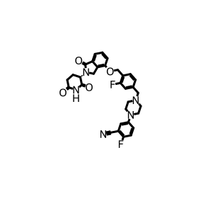 N#Cc1cc(N2CCN(Cc3ccc(COc4cccc5c4CN([C@H]4CCC(=O)NC4=O)C5=O)c(F)c3)CC2)ccc1F